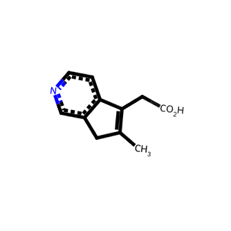 CC1=C(CC(=O)O)c2ccncc2C1